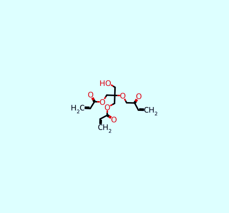 C=CC(=O)COC(CO)(COC(=O)C=C)COC(=O)C=C